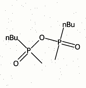 CCCCP(C)(=O)OP(C)(=O)CCCC